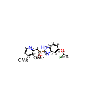 COc1ccnc(C[S@@+]([O-])c2nc3cc(OC(C)F)ccc3[nH]2)c1OC